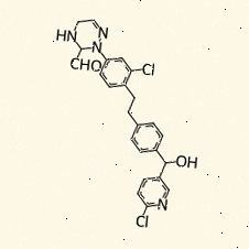 O=CC1NCC=NN1c1ccc(CCc2ccc(C(O)c3ccc(Cl)nc3)cc2)c(Cl)c1